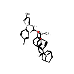 Cc1ccc(-n2nc(C(C)(C)C)cc2NC(=O)Nc2ccc(CC3CC4CCC(C3)N4C(=O)c3ccc(C(=O)C(F)(F)F)cc3)cc2)cc1